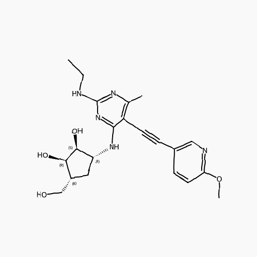 CCNc1nc(C)c(C#Cc2ccc(OC)nc2)c(N[C@@H]2C[C@H](CO)[C@@H](O)[C@H]2O)n1